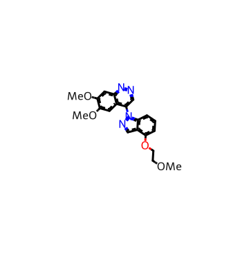 COCCOc1cccc2c1cnn2-c1cnnc2cc(OC)c(OC)cc12